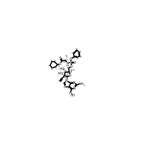 C#C[C@]1(O)[C@H](n2cnc3c(OCC)nc(N)nc32)O[C@](F)(CO[P@](=O)(N[C@@H](C)C(=O)OC2CCCCC2)Oc2ccccc2)[C@H]1O